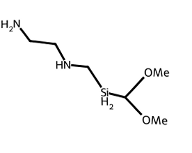 COC(OC)[SiH2]CNCCN